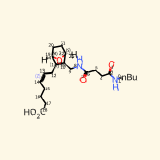 CCCCNC(=O)CCC(=O)NC[C@H]1[C@@H](C/C=C\CCCC(=O)O)[C@H]2CC[C@@H]1O2